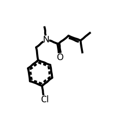 CC(C)=CC(=O)N(C)Cc1ccc(Cl)cc1